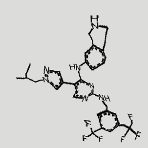 CC(C)Cn1cc(-c2cnc(Nc3cc(C(F)(F)F)cc(C(F)(F)F)c3)nc2Nc2ccc3c(c2)CNCC3)cn1